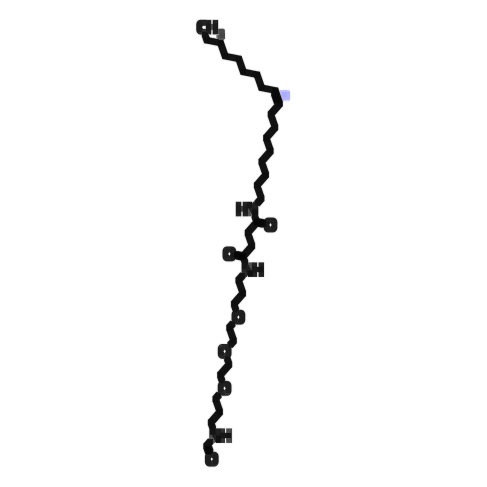 CCCCCCCC/C=C\CCCCCCCCNC(=O)CCC(=O)NCCCOCCOCCOCCCNC=O